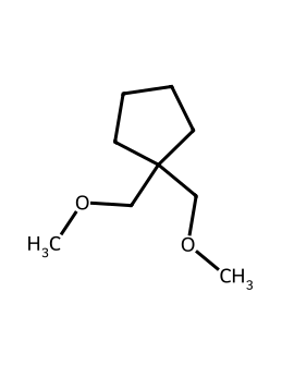 COCC1(COC)CCCC1